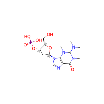 CN(C)C1N(C)C(=O)c2ncn([C@H]3C[C@H](OP(=O)(O)O)[C@@H](CO)O3)c2N1C